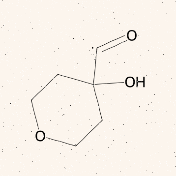 O=[C]C1(O)CCOCC1